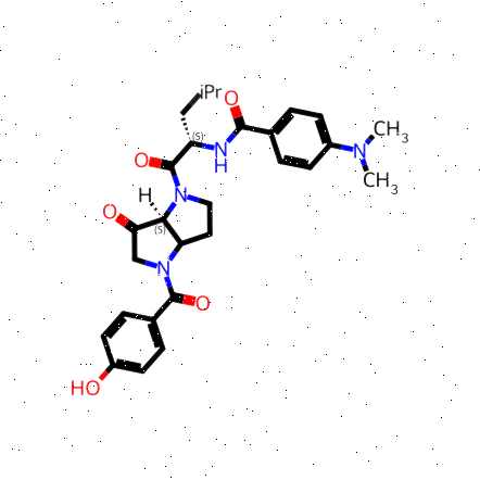 CC(C)C[C@H](NC(=O)c1ccc(N(C)C)cc1)C(=O)N1CCC2[C@H]1C(=O)CN2C(=O)c1ccc(O)cc1